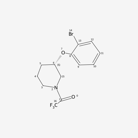 O=C(N1CCC[C@H](Oc2ccccc2Br)C1)C(F)(F)F